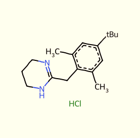 Cc1cc(C(C)(C)C)cc(C)c1CC1=NCCCN1.Cl